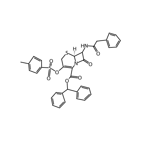 Cc1ccc(S(=O)(=O)OC2=C(C(=O)OC(c3ccccc3)c3ccccc3)N3C(=O)C(NC(=O)Cc4ccccc4)[C@@H]3SC2)cc1